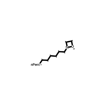 CCCCCCCCCCCN1CCO1